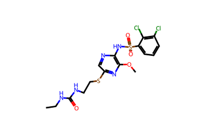 CCNC(=O)NCCSc1cnc(NS(=O)(=O)c2cccc(Cl)c2Cl)c(OC)n1